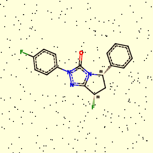 O=c1n(-c2ccc(F)cc2)nc2n1[C@H](c1ccccc1)C[C@@H]2F